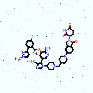 Cc1ncn(C2CCN(CC3CCN(c4ccc5c(c4)CN(C4CCC(=O)NC4=O)C5=O)CC3)CC2)c1-c1cnc(N)c(O[C@H](C)c2cc(F)ccc2-c2ccn(C)n2)c1